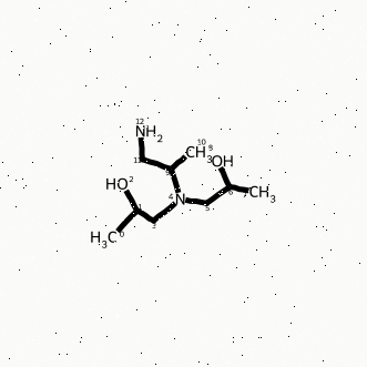 CC(O)CN(CC(C)O)C(C)CN